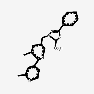 Cc1cc(-c2ncc(CN3N=C(c4ccccc4)SC3C(=O)O)cc2C)ccn1